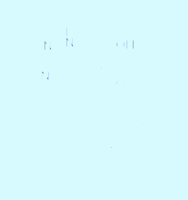 CC(C)(C)c1cccc(-c2nn[nH]c2C(=O)O)c1